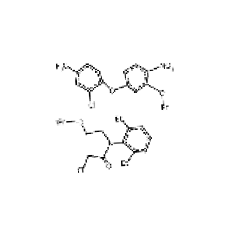 CCCOCCN(C(=O)CCl)c1c(CC)cccc1CC.CCOc1cc(Oc2ccc(C(F)(F)F)cc2Cl)ccc1[N+](=O)[O-]